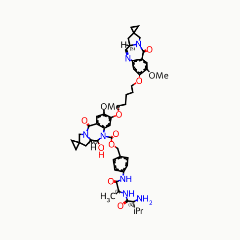 COc1cc2c(cc1OCCCCCOc1cc3c(cc1OC)C(=O)N1CC4(CC4)C[C@H]1[C@H](O)N3C(=O)OCc1ccc(NC(=O)[C@H](C)NC(=O)[C@@H](N)C(C)C)cc1)N=C[C@@H]1CC3(CC3)CN1C2=O